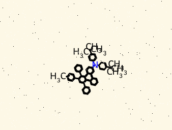 Cc1ccc(-c2cc(-c3ccccc3)c3c4ccccc4c4cc(N(c5ccc(C(C)(C)C)cc5)C5C=CC(C(C)(C)C)=CC5)ccc4c3c2-c2ccccc2)cc1